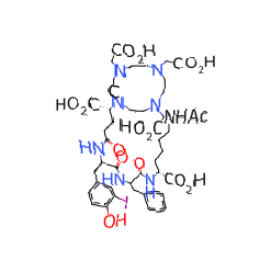 CC(=O)NCCCC[C@@H](NC(=O)[C@@H](Cc1ccccc1)NC(=O)[C@@H](Cc1ccc(O)c(I)c1)NC(=O)CC[C@H](C(=O)O)N1CCN(CC(=O)O)CCN(CC(=O)O)CCN(CC(=O)O)CC1)C(=O)O